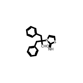 N=c1sccn1C(C=O)(Cc1ccccc1)Cc1ccccc1